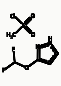 CS(=O)(=O)Cl.FC(F)Oc1cc[nH]n1